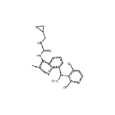 Cc1cnc2c(N(C=O)c3c(Cl)ccnc3Cl)cccc2c1NC(=O)NCC1CC1